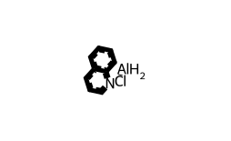 [AlH2][Cl].c1ccc2ncccc2c1